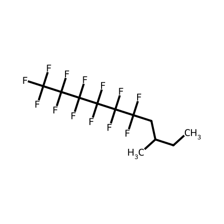 CCC(C)CC(F)(F)C(F)(F)C(F)(F)C(F)(F)C(F)(F)C(F)(F)F